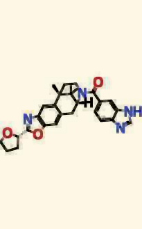 CC1(C)[C@H]2Cc3cc4oc([C@@H]5CCCO5)nc4cc3[C@]1(C)CCN2C(=O)c1ccc2nc[nH]c2c1